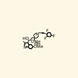 COc1ccc2ncc(C)c([C@H](O)CCC3(C(=O)NO)CCN(CC#Cc4c(F)cc(F)cc4F)CC3)c2c1